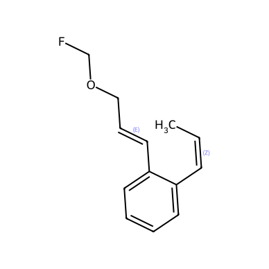 C/C=C\c1ccccc1/C=C/COCF